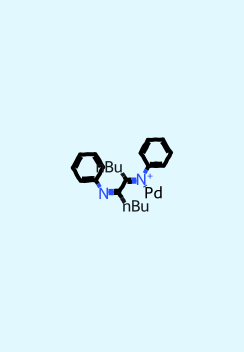 CCCCC(=Nc1ccccc1)C(CCCC)=[N+]([Pd])c1ccccc1